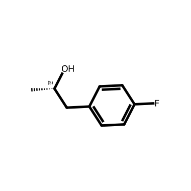 C[C@H](O)Cc1ccc(F)cc1